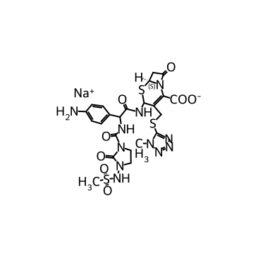 Cn1nnnc1SCC1=C(C(=O)[O-])N2C(=O)C[C@@H]2SC1NC(=O)C(NC(=O)N1CCN(NS(C)(=O)=O)C1=O)c1ccc(N)cc1.[Na+]